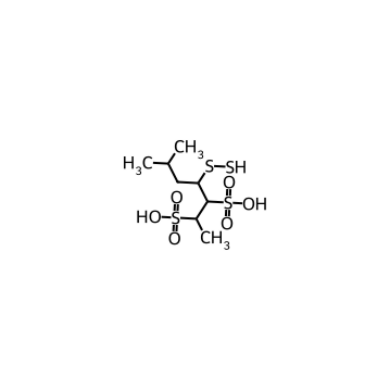 CC(C)CC(SS)C(C(C)S(=O)(=O)O)S(=O)(=O)O